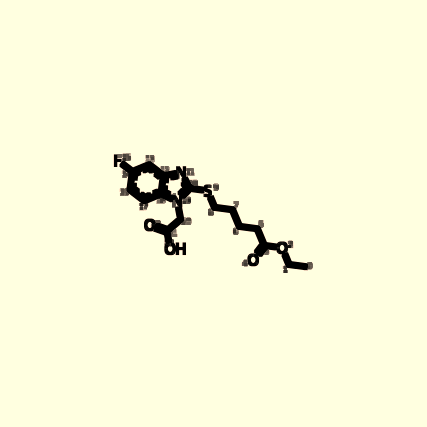 CCOC(=O)CCCCSc1nc2cc(F)ccc2n1CC(=O)O